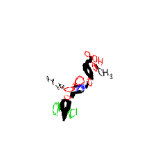 CCOC(Cc1ccc(OCCN(CCCOc2cc(Cl)cc(Cl)c2)C(=O)OC)cc1)C(=O)O